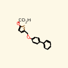 O=C(O)Oc1ccc(COc2ccc(-c3ccccc3)cc2)s1